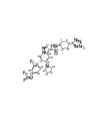 Cn1nnc(C2CCC(NC(=O)c3cnn4ccc(N5CCC[C@@H]5c5cc(F)cc(OC(F)F)c5)cc34)CC2)n1